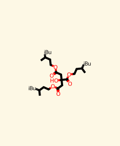 CCC(C)C(C)CCOC(=O)CC(O)(CC(=O)OCCC(C)C(C)CC)C(=O)OCCC(C)C(C)CC